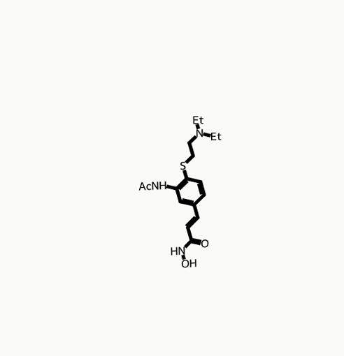 CCN(CC)CCSc1ccc(C=CC(=O)NO)cc1NC(C)=O